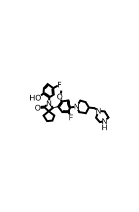 COc1cc(N2CCC(CN3CCNCC3)CC2)c(F)cc1[C@@H]1N(c2cc(F)ccc2O)C(=O)C12CCCC2